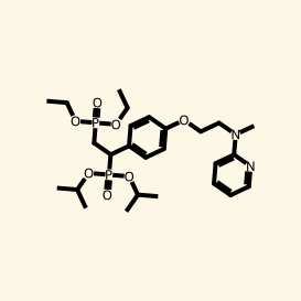 CCOP(=O)(CC(c1ccc(OCCN(C)c2ccccn2)cc1)P(=O)(OC(C)C)OC(C)C)OCC